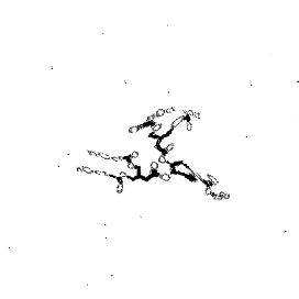 CCCCCCCCC(=O)OCC(COC(=O)CCCCCCCC)CC(=O)O[C@H]1CN(C(=O)OC(C)(C)C)C[C@@H]1OC(=O)CC(COC(=O)CCCCCCCC)COC(=O)CCCCCCCC